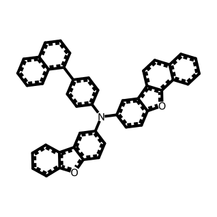 c1ccc2c(-c3ccc(N(c4ccc5oc6ccccc6c5c4)c4ccc5oc6c7ccccc7ccc6c5c4)cc3)cccc2c1